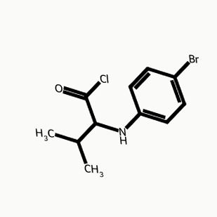 CC(C)C(Nc1ccc(Br)cc1)C(=O)Cl